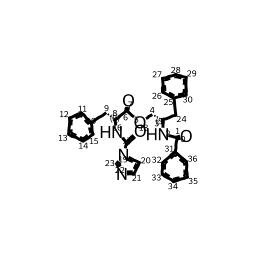 O=C(N[C@H](COC(=O)[C@@H](Cc1ccccc1)NC(=O)n1ccnc1)Cc1ccccc1)c1ccccc1